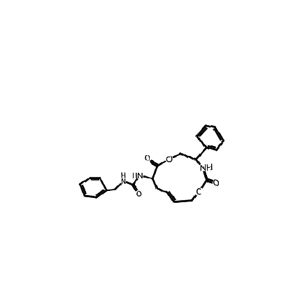 O=C1CC/C=C/C[C@@H](NC(=O)NCc2ccccc2)C(=O)OCC(c2ccccc2)N1